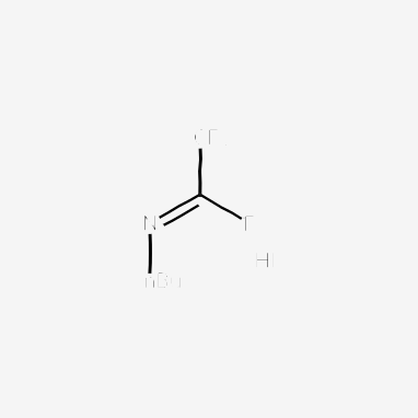 CCCCN=C(F)C(F)(F)F.I